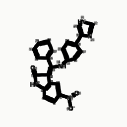 O=C1Nc2ccc([N+](=O)[O-])cc2C1=C(Nc1ccc(-c2c[nH]cn2)cc1)c1ccccc1